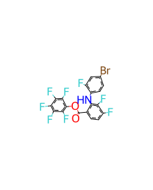 O=C(Oc1c(F)c(F)c(F)c(F)c1F)c1ccc(F)c(F)c1Nc1ccc(Br)cc1F